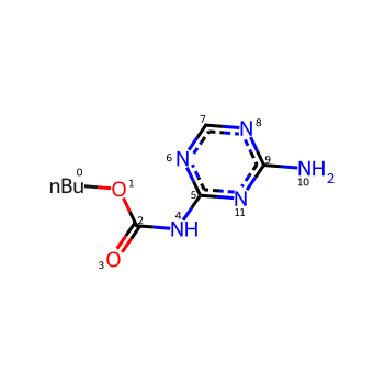 CCCCOC(=O)Nc1ncnc(N)n1